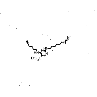 C#CCCCCNc1nc(NCCCCCCN=[N+]=[N-])ncc1C(=O)OCC